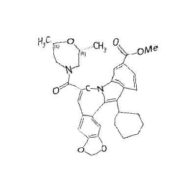 COC(=O)c1ccc2c(C3CCCCC3)c3n(c2c1)CC(C(=O)N1C[C@@H](C)O[C@@H](C)C1)=Cc1cc2c(cc1-3)OCO2